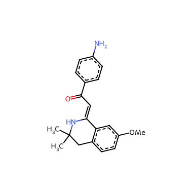 COc1ccc2c(c1)C(=CC(=O)c1ccc(N)cc1)NC(C)(C)C2